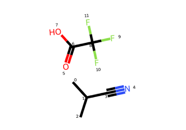 CC(C)C#N.O=C(O)C(F)(F)F